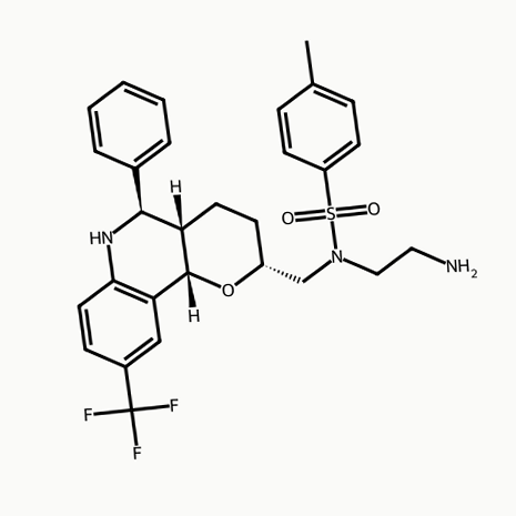 Cc1ccc(S(=O)(=O)N(CCN)C[C@H]2CC[C@@H]3[C@H](O2)c2cc(C(F)(F)F)ccc2N[C@H]3c2ccccc2)cc1